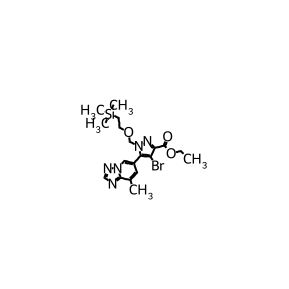 CCOC(=O)c1nn(COCC[Si](C)(C)C)c(-c2cc(C)c3ncnn3c2)c1Br